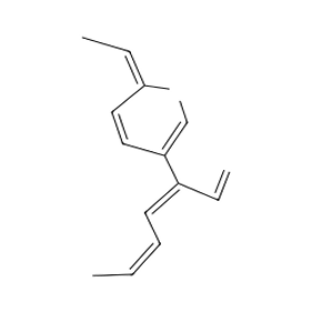 C=CC(=C\C=C/C)/C(/C=C\C(C)=C/C)=C/C